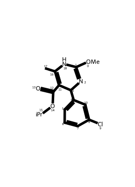 COC1=NC(c2cccc(Cl)c2)C(C(=O)OC(C)C)=C(C)N1